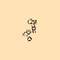 O=C(CN1C(=O)COC[C@H]1c1ccccc1)Nc1ccc2c(c1)C[C@@]1(C2)C(=O)Nc2ncccc21